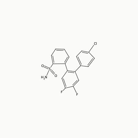 NS(=O)(=O)c1ccccc1-c1cc(F)c(F)cc1-c1ccc(Cl)cc1